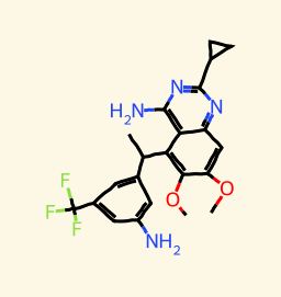 COc1cc2nc(C3CC3)nc(N)c2c(C(C)c2cc(N)cc(C(F)(F)F)c2)c1OC